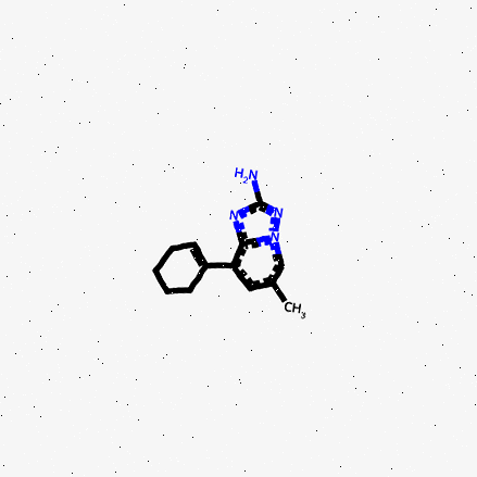 Cc1cc(C2=CCCCC2)c2nc(N)nn2c1